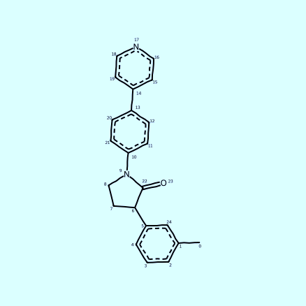 Cc1cccc(C2CCN(c3ccc(-c4ccncc4)cc3)C2=O)c1